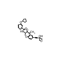 CN1C(=O)C(NC(=O)c2cc(OC3CCCC3)ccn2)COc2ccc(C#CC3(O)COC3)cc21